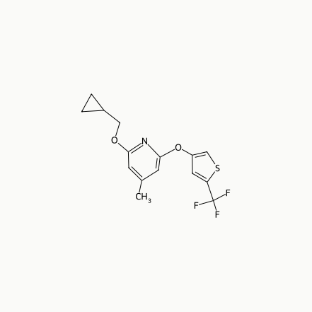 Cc1cc(OCC2CC2)nc(Oc2csc(C(F)(F)F)c2)c1